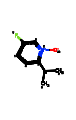 CC(C)c1ccc(F)c[n+]1[O-]